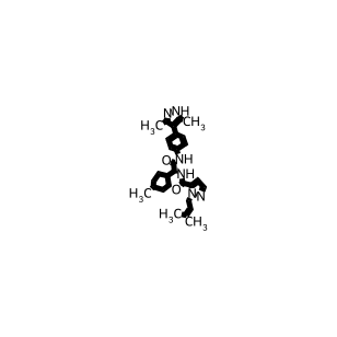 CC(C)=CCn1nccc1C(=O)N[C@H](C(=O)Nc1ccc(-c2c(C)n[nH]c2C)cc1)C1CCC(C)CC1